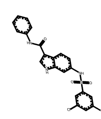 O=C(Nc1ccccc1)c1c[nH]c2cc(NS(=O)(=O)c3cc(Cl)cc(Cl)c3)ccc12